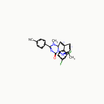 CC1=N/N2C(=O)N=C(c3ccc(C#N)cc3)N(C)C2/C=C(c2ccc(F)cc2F)/C=C\1